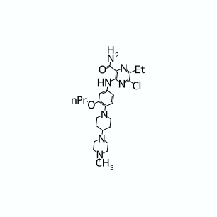 CCCOc1cc(Nc2nc(Cl)c(CC)nc2C(N)=O)ccc1N1CCC(N2CCN(C)CC2)CC1